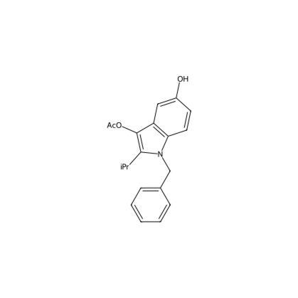 CC(=O)Oc1c(C(C)C)n(Cc2ccccc2)c2ccc(O)cc12